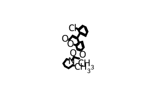 CC(Oc1ccc2c(-c3ccccc3Cl)cc(=O)oc2c1)C(=O)N1CCCCC1C